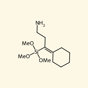 CO[Si](OC)(OC)C(CCN)=C1CCCCC1